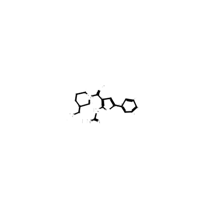 NCC1CCCN(C(=O)c2cc(-c3ccccc3)sc2NC(N)=O)C1